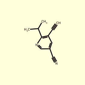 C#Cc1cc(C#N)cnc1C(C)C